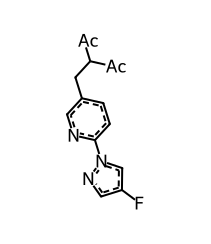 CC(=O)C(Cc1ccc(-n2cc(F)cn2)nc1)C(C)=O